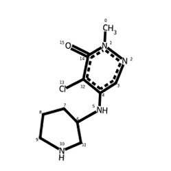 Cn1ncc(NC2CCCNC2)c(Cl)c1=O